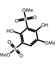 COc1cc(S(=O)(=O)OC)c(O)c(S(=O)(=O)OC)c1O